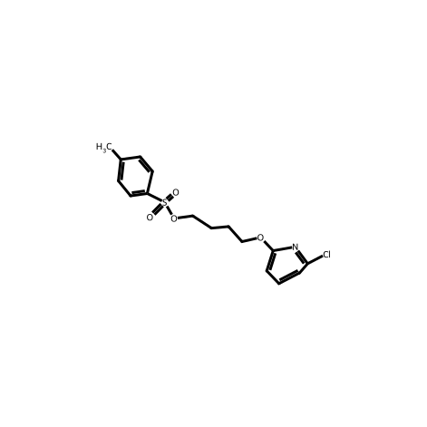 Cc1ccc(S(=O)(=O)OCCCCOc2cccc(Cl)n2)cc1